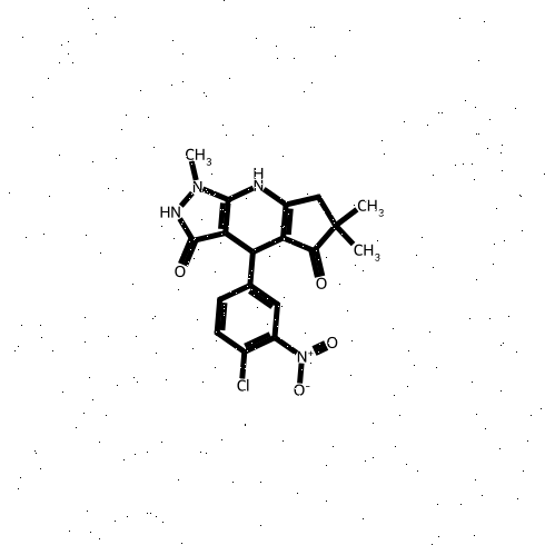 Cn1[nH]c(=O)c2c1NC1=C(C(=O)C(C)(C)C1)C2c1ccc(Cl)c([N+](=O)[O-])c1